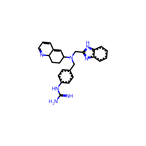 N=C(N)Nc1ccc(CN(Cc2nc3ccccc3[nH]2)C2C=C3C=CC=NC3CC2)cc1